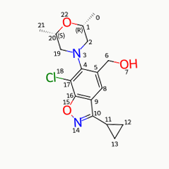 C[C@@H]1CN(c2c(CO)cc3c(C4CC4)noc3c2Cl)C[C@H](C)O1